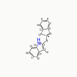 Cc1c(CC2=Cc3ccccc3C2)[nH]c2ccccc12